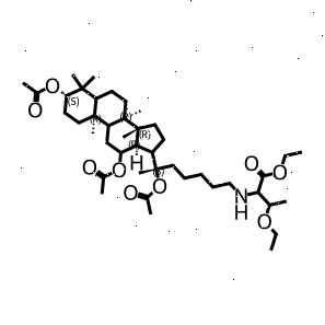 CCOC(=O)C(NCCCCC[C@](C)(OC(C)=O)C1CC[C@]2(C)[C@@H]1C(OC(C)=O)CC1[C@@]3(C)CC[C@H](OC(C)=O)C(C)(C)C3CC[C@]12C)C(C)OCC